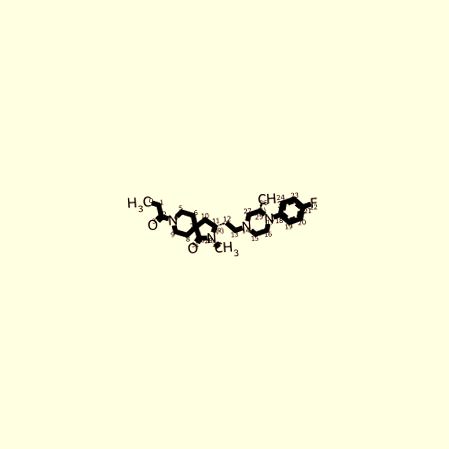 CCC(=O)N1CCC2(CC1)C[C@H](CCN1CCN(c3ccc(F)cc3)[C@@H](C)C1)N(C)C2=O